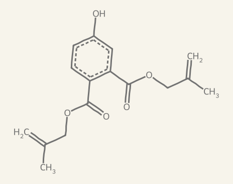 C=C(C)COC(=O)c1ccc(O)cc1C(=O)OCC(=C)C